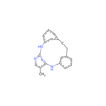 Cc1cnc2nc1Nc1cccc(c1)CCc1cccc(c1)N2